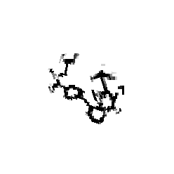 CN(CC(F)F)C(=O)c1ccc(-c2cccn3c(=O)c(Cl)c(C(F)(F)F)nc23)cc1